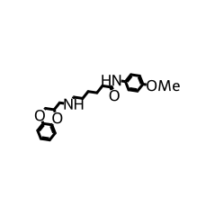 COc1ccc(NC(=O)CCCCCNCC2COc3ccccc3O2)cc1